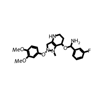 COc1ccc(ON2CC3=C(C(OC(N)c4cccc(F)c4)CCN3)N2C)cc1OC